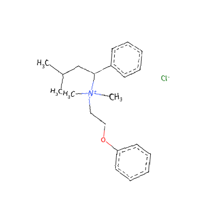 CC(C)CC(c1ccccc1)[N+](C)(C)CCOc1ccccc1.[Cl-]